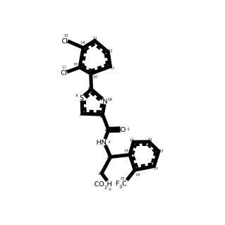 O=C(O)CC(NC(=O)c1csc(-c2cccc(Cl)c2Cl)n1)c1ccccc1C(F)(F)F